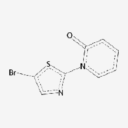 O=c1ccccn1-c1ncc(Br)s1